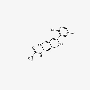 O=C(NC1C=C2CNC(c3cc(F)ccc3Cl)=CC2=CN1)C1CC1